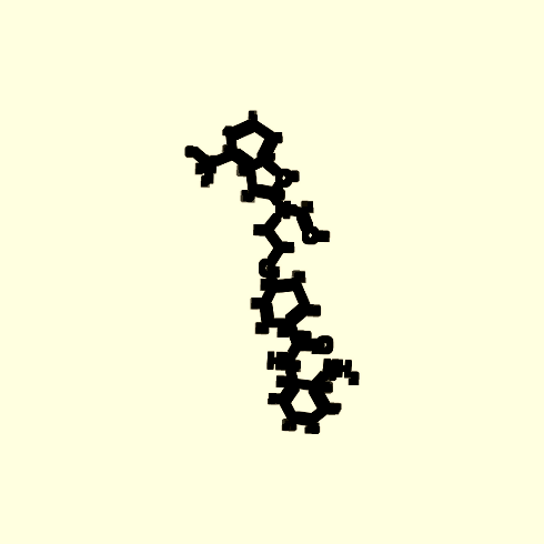 CN(C)c1cccc2oc(N(C=O)CCOc3ccc(C(=O)Nc4ccccc4N)cc3)cc12